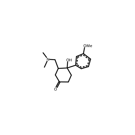 COc1cccc(C2(O)CCC(=O)CC2CN(C)C)c1